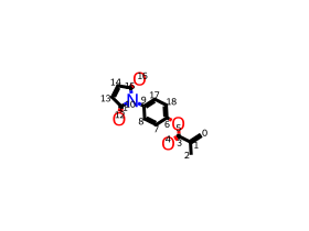 C=C(C)C(=O)Oc1ccc(N2C(=O)C=CC2=O)cc1